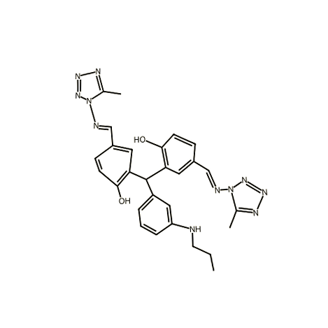 CCCNc1cccc(C(c2cc(C=Nn3nnnc3C)ccc2O)c2cc(C=Nn3nnnc3C)ccc2O)c1